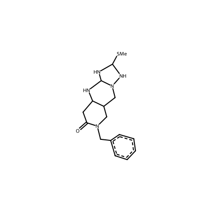 CSC1NC2NC3CC(=O)N(Cc4ccccc4)CC3CN2N1